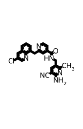 Cc1nc(N)c(C#N)cc1CNC(=O)c1ccnc(Cc2cccc3cc(Cl)cnc23)c1